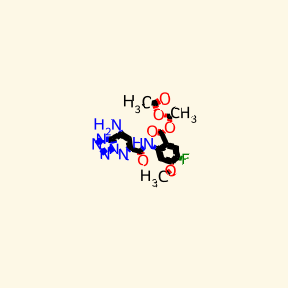 COc1cc(NC(=O)c2cc(N)c3nnnn3n2)c(C(=O)OC(C)OC(C)=O)cc1F